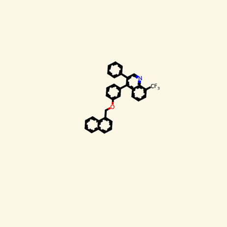 FC(F)(F)c1cccc2c(-c3cccc(OCc4cccc5ccccc45)c3)c(-c3ccccc3)cnc12